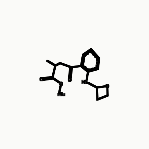 CCCCOC(=O)C(C)CC(=O)c1ccccc1NC1CCO1